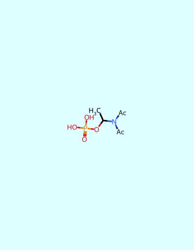 CC(=O)N(C(C)=O)C(C)OP(=O)(O)O